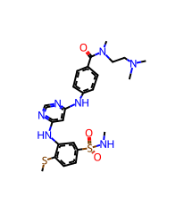 CNS(=O)(=O)c1ccc(SC)c(Nc2cc(Nc3ccc(C(=O)N(C)CCN(C)C)cc3)ncn2)c1